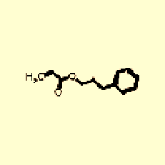 C=CC(=O)OC[CH]Cc1ccccc1